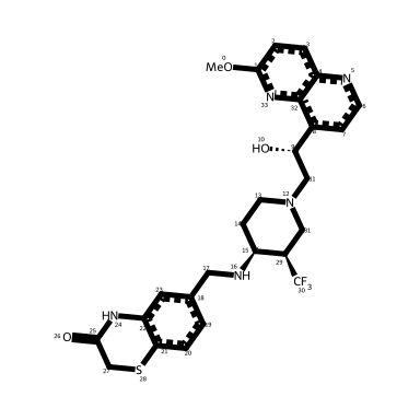 COc1ccc2nccc([C@@H](O)CN3CC[C@H](NCc4ccc5c(c4)NC(=O)CS5)[C@H](C(F)(F)F)C3)c2n1